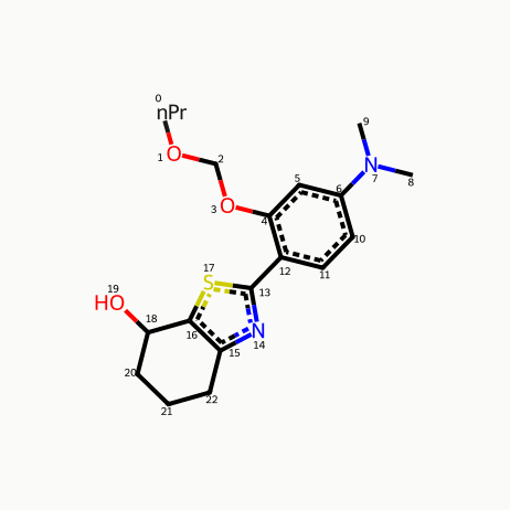 CCCOCOc1cc(N(C)C)ccc1-c1nc2c(s1)C(O)CCC2